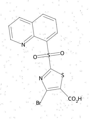 O=C(O)c1sc(S(=O)(=O)c2cccc3cccnc23)nc1Br